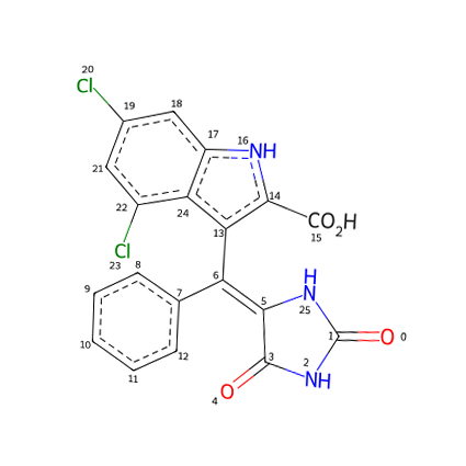 O=C1NC(=O)C(=C(c2ccccc2)c2c(C(=O)O)[nH]c3cc(Cl)cc(Cl)c23)N1